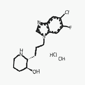 Cl.Cl.O[C@H]1CCCN[C@@H]1CCCn1cnc2cc(Cl)c(F)cc21